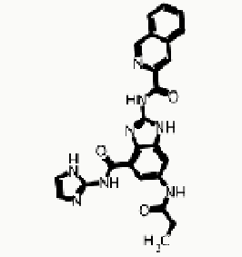 CCC(=O)Nc1cc(C(=O)Nc2ncc[nH]2)c2nc(NC(=O)c3cc4ccccc4cn3)[nH]c2c1